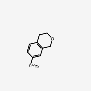 [CH2]CCCCCc1ccc2c(c1)COCC2